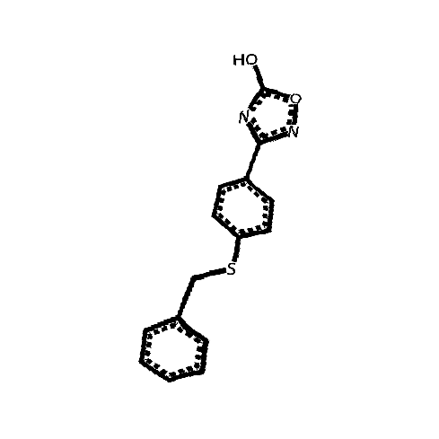 Oc1nc(-c2ccc(SCc3ccccc3)cc2)no1